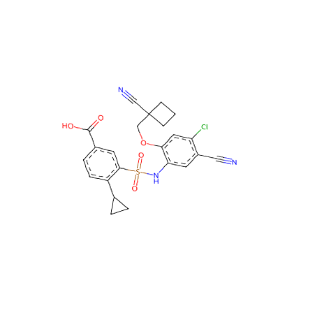 N#Cc1cc(NS(=O)(=O)c2cc(C(=O)O)ccc2C2CC2)c(OCC2(C#N)CCC2)cc1Cl